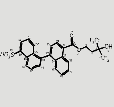 O=C(OCCC(O)(C(F)(F)F)C(F)(F)F)c1ccc(-c2cccc3c(S(=O)(=O)O)cccc23)c2ccccc12